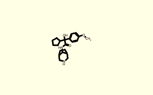 COc1ccc(C(O)(C(=O)NC2C3CCC2CNC3)C2CCCC2)cc1